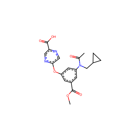 COC(=O)c1cc(Oc2cnc(C(=O)O)cn2)cc(N(CC2CC2)C(C)=O)c1